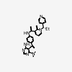 C=C(Nc1ccc(C(=C)c2c(N)ncnc2N(C)C)cc1)C1=CC=CN([C@@H](CC)c2ccncc2)C1=C